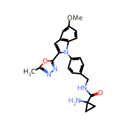 COc1ccc2c(c1)cc(-c1nnc(C)o1)n2-c1ccc(CNC(=O)C2(N)CC2)cc1